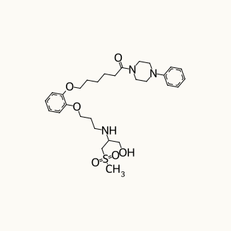 CS(=O)(=O)CC(CO)NCCCOc1ccccc1OCCCCCC(=O)N1CCN(c2ccccc2)CC1